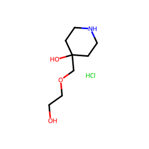 Cl.OCCOCC1(O)CCNCC1